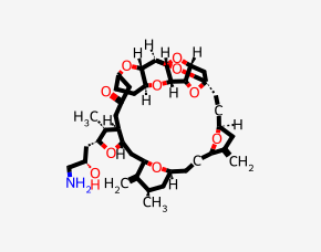 C=C1C[C@@H]2CC[C@@]34C[C@H]5O[C@H]6[C@@H](O3)[C@H]3OC(CC[C@@H]3O[C@H]6C5O4)CC(=O)C[C@@H]3[C@@H](C)[C@@H](C[C@H](O)CN)O[C@H]3CC3O[C@@H](CCC1O2)C[C@@H](C)C3=C